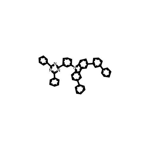 c1ccc(-c2cccc(-c3ccc4c(c3)c3cc(-c5ccccc5)ccc3n4-c3cccc(-c4nc(-c5ccccc5)nc(-c5ccccc5)n4)c3)c2)cc1